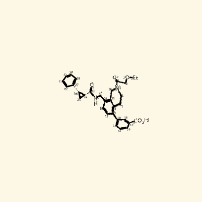 CCOCC(=O)N1CCc2c(-c3cccc(C(=O)O)c3)ccc(CNC(=O)[C@@H]3C[C@@H]3c3ccccc3)c2C1